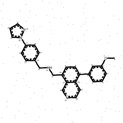 COc1cccc(-c2ccc(CNCc3ccc(-n4cccn4)cc3)c3cnccc23)c1